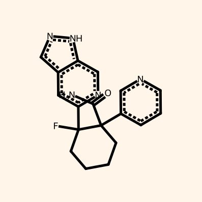 NC(=O)C1(c2cccnc2)CCCCC1(F)c1cc2cn[nH]c2cn1